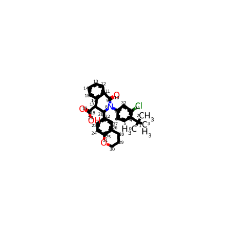 CC(C)(C)c1ccc(N2C(=O)c3ccccc3C(C(=O)O)C2c2ccc3c(c2)CCCO3)cc1Cl